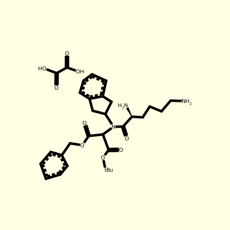 CC(C)(C)OC(=O)C(C(=O)OCc1ccccc1)N(C(=O)[C@@H](N)CCCCN)C1Cc2ccccc2C1.O=C(O)C(=O)O